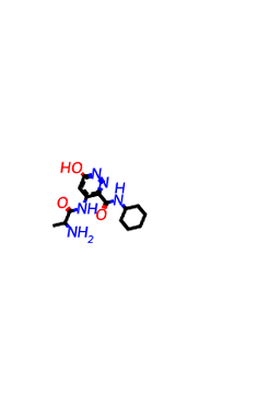 CC(N)C(=O)Nc1cc(O)nnc1C(=O)NC1CCCCC1